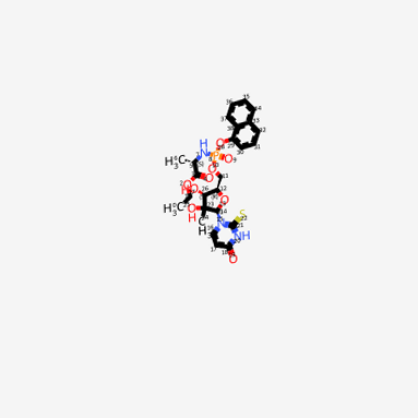 CCOC(=O)[C@H](C)NP(=O)(OC[C@H]1O[C@@H](n2ccc(=O)[nH]c2=S)C(C)(O)[C@H]1O)Oc1cccc2ccccc12